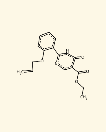 C=CCOc1ccccc1-c1ncc(C(=O)OCC)c(=O)[nH]1